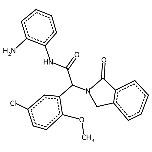 COc1ccc(Cl)cc1C(C(=O)Nc1ccccc1N)N1Cc2ccccc2C1=O